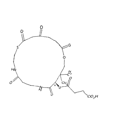 CC1(C)COC(=O)CCC(=O)CC(=O)SCCNC(=O)CCNC(=O)[C@@H]1OC(=O)CCC(=O)O